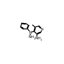 Cc1cncc(N)c1N(N)c1ccccc1